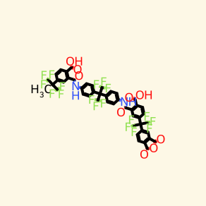 CC(c1ccc(C(=O)O)c(C(=O)Nc2ccc(C(c3ccc(NC(=O)c4cc(C(c5ccc6c(c5)C(=O)OC6=O)(C(F)(F)F)C(F)(F)F)ccc4C(=O)O)cc3)(C(F)(F)F)C(F)(F)F)cc2)c1)(C(F)(F)F)C(F)(F)F